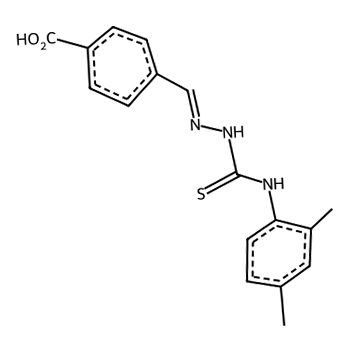 Cc1ccc(NC(=S)N/N=C/c2ccc(C(=O)O)cc2)c(C)c1